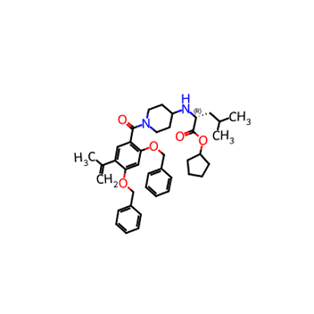 C=C(C)c1cc(C(=O)N2CCC(N[C@H](CC(C)C)C(=O)OC3CCCC3)CC2)c(OCc2ccccc2)cc1OCc1ccccc1